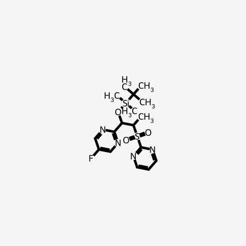 CC(C(O[Si](C)(C)C(C)(C)C)c1ncc(F)cn1)S(=O)(=O)c1ncccn1